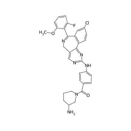 COc1cccc(F)c1C1=NCc2cnc(Nc3ccc(C(=O)N4CCCC(N)C4)cc3)nc2-c2ccc(Cl)cc21